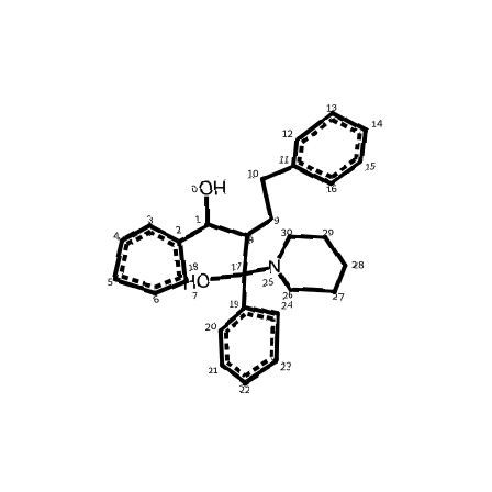 OC(c1ccccc1)C(CCc1ccccc1)C(O)(c1ccccc1)N1CCCCC1